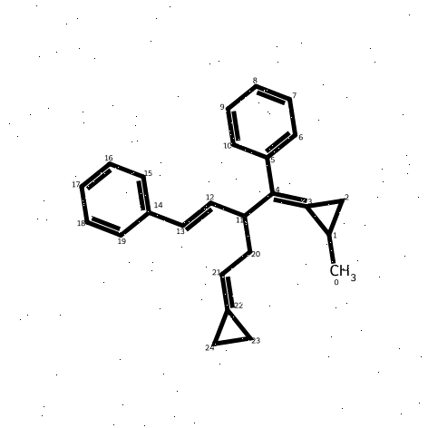 CC1CC1=C(c1ccccc1)C(C=Cc1ccccc1)CC=C1CC1